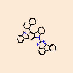 c1ccc2c(c1)-c1cccc3nc(-n4c5ccccc5c5c6c7c8ccccc8ccc7n7c8ccccc8c(cc54)c67)nc-2c13